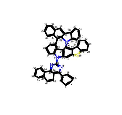 c1ccc(-c2nc(-n3c4cccc5c4c4c3cc3sc6ccccc6c3c4n3c4ccccc4c4cc6ccccc6c5c43)nc3c2ccc2ccccc23)cc1